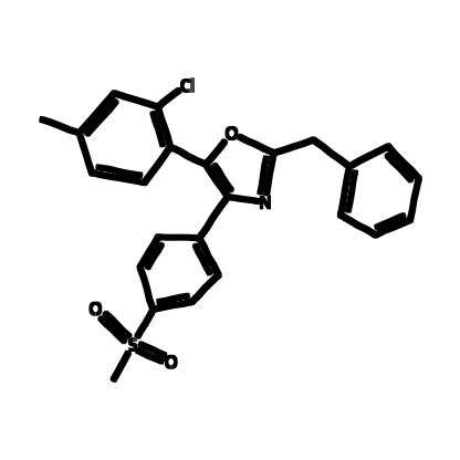 Cc1ccc(-c2oc(Cc3ccccc3)nc2-c2ccc(S(C)(=O)=O)cc2)c(Cl)c1